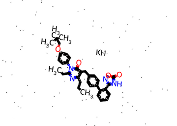 CCCc1nc(CC)n(-c2ccc(OCC(C)(C)C)cc2)c(=O)c1Cc1ccc(-c2ccccc2-c2noc(=O)[nH]2)cc1.[KH]